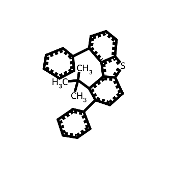 CC(C)(C)c1c(-c2ccccc2)ccc2sc3cccc(-c4ccccc4)c3c12